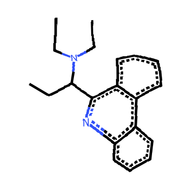 CCC(c1nc2ccccc2c2ccccc12)N(CC)CC